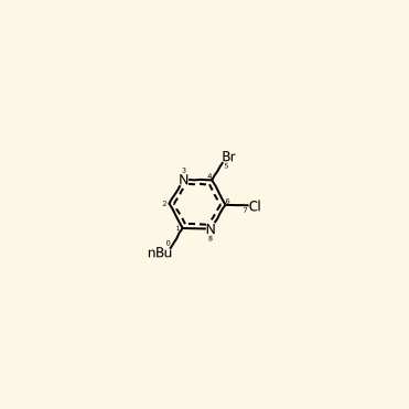 CCCCc1cnc(Br)c(Cl)n1